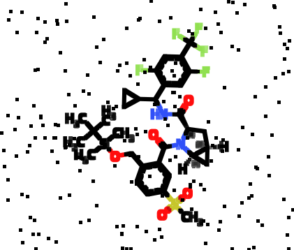 CC(C)(C)[Si](C)(C)OCc1ccc(S(C)(=O)=O)cc1C(=O)N1[C@@H](C(=O)NC(c2cc(F)c(C(F)(F)F)cc2F)C2CC2)C[C@H]2C[C@H]21